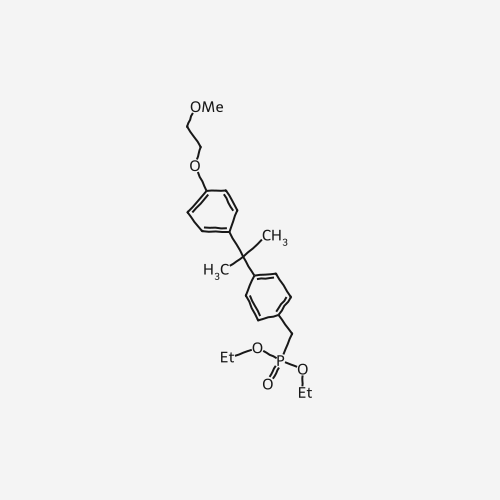 CCOP(=O)(Cc1ccc(C(C)(C)c2ccc(OCCOC)cc2)cc1)OCC